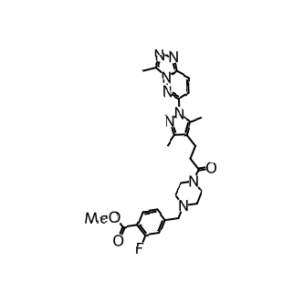 COC(=O)c1ccc(CN2CCN(C(=O)CCc3c(C)nn(-c4ccc5nnc(C)n5n4)c3C)CC2)cc1F